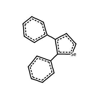 c1ccc(-c2cc[se]c2-c2ccccc2)cc1